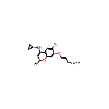 COCCCOc1cc2c(cc1Br)C(NC1CC1)=CC(C(C)C)O2